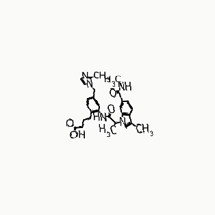 CNC(=O)c1ccc2c(C)cn(C(C)C(=O)Nc3cc(Cn4ccnc4C)ccc3CCCC(=O)O)c2c1